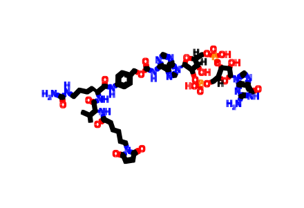 CC(C)[C@H](NC(=O)CCCCCN1C(=O)C=CC1=O)C(=O)N[C@@H](CCCCNC(N)=O)C(=O)Nc1ccc(COC(=O)Nc2ncnc3c2ncn3[C@@H]2O[C@@H]3COP(=O)(O)OC4C(O)[C@H](n5cnc6c(=O)[nH]c(N)nc65)O[C@@H]4COP(=O)(O)OC2[C@H]3O)cc1